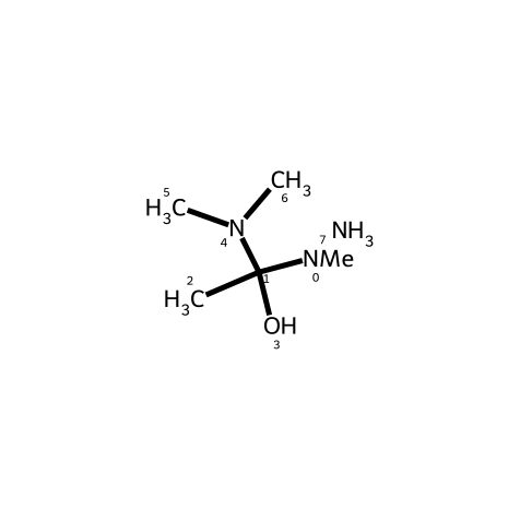 CNC(C)(O)N(C)C.N